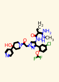 C=C/C(C(=O)Nc1cn(CC(=O)N2CCC(O)(c3ccncc3)CC2)nc1-c1cc(Cl)ccc1OC(F)F)=C(\N)NC